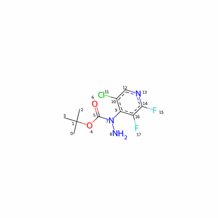 CC(C)(C)OC(=O)N(N)c1c(Cl)cnc(F)c1F